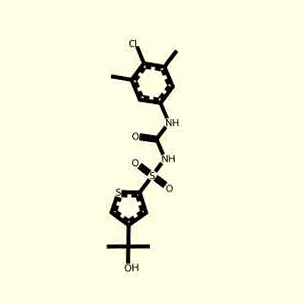 Cc1cc(NC(=O)NS(=O)(=O)c2cc(C(C)(C)O)cs2)cc(C)c1Cl